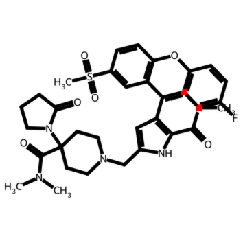 CN(C)C(=O)C1(N2CCCC2=O)CCN(Cc2cc3c(-c4cc(S(C)(=O)=O)ccc4Oc4ccc(F)cc4F)cn(C)c(=O)c3[nH]2)CC1